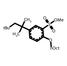 CCCCCCCCOc1ccc(C(C)(C)CC(C)(C)C)cc1S(=O)(=O)OC